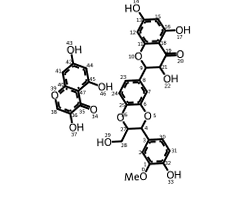 COc1cc(C2Oc3cc(C4Oc5cc(O)cc(O)c5C(=O)C4O)ccc3OC2CO)ccc1O.O=c1c(O)coc2cc(O)cc(O)c12